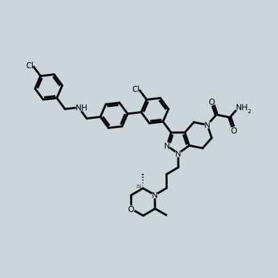 CC1COC[C@H](C)N1CCCn1nc(-c2ccc(Cl)c(-c3ccc(CNCc4ccc(Cl)cc4)cc3)c2)c2c1CCN(C(=O)C(N)=O)C2